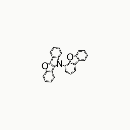 c1ccc2c(c1)oc1c(-n3c4ccccc4c4oc5ccccc5c43)cccc12